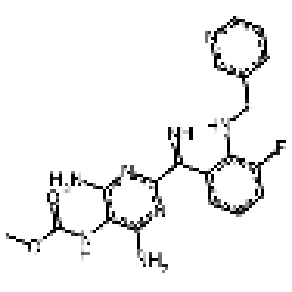 COC(=O)Nc1c(N)nc(C(=N)c2cccc(F)c2NCc2cccnc2)nc1N